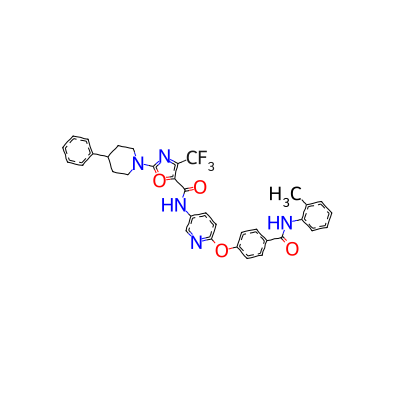 Cc1ccccc1NC(=O)c1ccc(Oc2ccc(NC(=O)c3oc(N4CCC(c5ccccc5)CC4)nc3C(F)(F)F)cn2)cc1